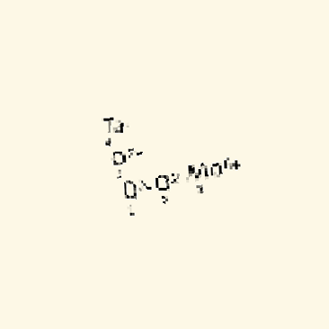 [Mo+6].[O-2].[O-2].[O-2].[Ta]